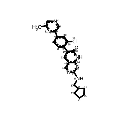 Cc1cncc(-c2ccc(-c3cc4cnc(NCC5CCCC5)nc4[nH]c3=O)c(Cl)c2)n1